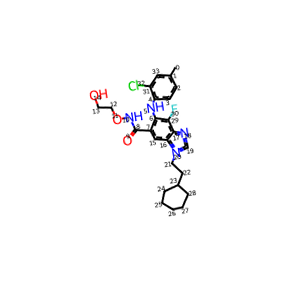 Cc1ccc(Nc2c(C(=O)NOCCO)cc3c(ncn3CCC3CCCCC3)c2F)c(Cl)c1